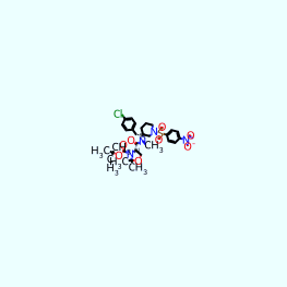 CN(C(=O)[C@@H]1COC(C)(C)N1C(=O)OC(C)(C)C)[C@@]1(Cc2ccc(Cl)cc2)CCCN(S(=O)(=O)c2ccc([N+](=O)[O-])cc2)C1